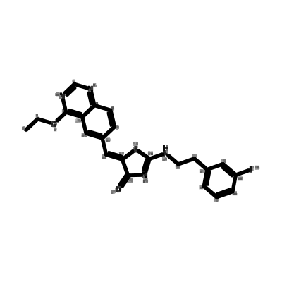 CCOc1ncnc2ccc(/C=C3\SC(NCCc4cccc(F)c4)=NC3=O)cc12